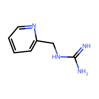 N=C(N)NCc1ccccn1